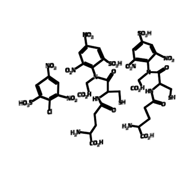 NC(CCC(=O)NC(CS)C(=O)N(CC(=O)O)c1c([N+](=O)[O-])cc(S(=O)(=O)O)cc1[N+](=O)[O-])C(=O)O.NC(CCC(=O)NC(CS)C(=O)N(CC(=O)O)c1c([N+](=O)[O-])cc([N+](=O)[O-])cc1S(=O)(=O)O)C(=O)O.O=[N+]([O-])c1cc([N+](=O)[O-])c(Cl)c(S(=O)(=O)O)c1